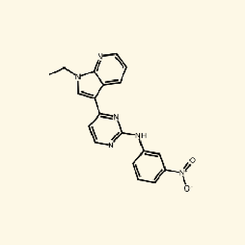 CCn1cc(-c2ccnc(Nc3cccc([N+](=O)[O-])c3)n2)c2cccnc21